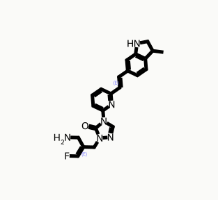 CC1CNc2cc(/C=C/c3cccc(-n4cnn(C/C(=C/F)CN)c4=O)n3)ccc21